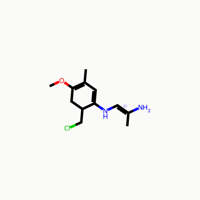 COC1=C(C)C=C(N/C=C(\C)N)C(CCl)C1